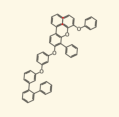 c1ccc(Oc2ccccc2Oc2c(-c3ccccc3)ccc(Oc3cccc(Oc4cccc(-c5ccccc5-c5ccccc5)c4)c3)c2-c2ccccc2)cc1